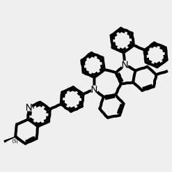 CC1C=CC2C3=C(c4ccccc4N(c4ccc(-c5cnc6c(c5)C=C[C@@H](C)C6)cc4)C4=C3C=CCC4)N(c3ccccc3-c3ccccc3)C2C1